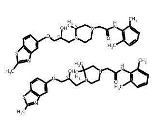 Cc1nc2cc(OC[C@@H](O)CN3CCN(CC(=O)Nc4c(C)cccc4C)CC3(C)C)ccc2s1.Cc1nc2cc(OC[C@@H](O)CN3CCN(CC(=O)Nc4c(C)cccc4C)C[C@@H]3C)ccc2s1